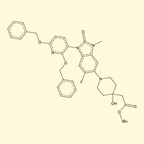 Cn1c(=O)n(-c2ccc(OCc3ccccc3)nc2OCc2ccccc2)c2cc(F)c(N3CCC(O)(CC(=O)OC(C)(C)C)CC3)cc21